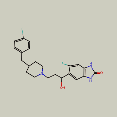 O=c1[nH]c2cc(F)c(C(O)CCN3CCC(Cc4ccc(F)cc4)CC3)cc2[nH]1